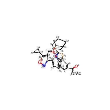 COC(=O)c1ccc2nc(SC3C4CCC3CC(OCc3c(-c5ccccc5OC(F)(F)F)noc3C3CC3)C4)sc2c1